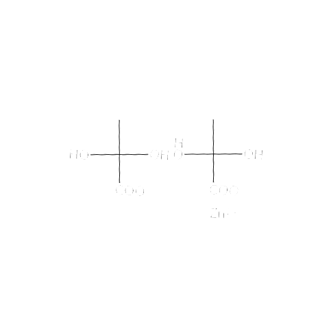 CC(O)(O)C(=O)[O-].CC(O)(O)C(=O)[O-].[Zn+2]